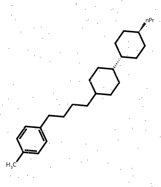 CCC[C@H]1CC[C@H](C2CCC(CCCCc3ccc(C)cc3)CC2)CC1